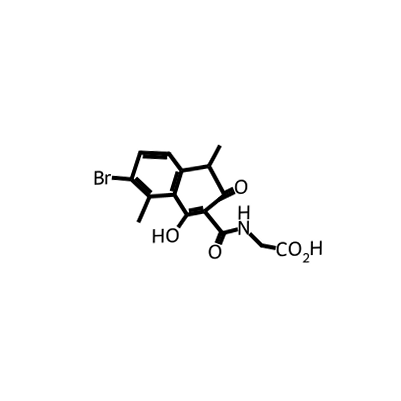 Cc1c(Br)ccc2c1C(O)=C(C(=O)NCC(=O)O)C(=O)C2C